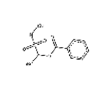 CCCCC(OC(=O)c1ccccc1)S(=O)(=O)NC(C)(C)C